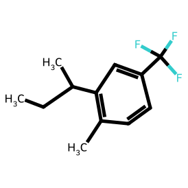 CCC(C)c1cc(C(F)(F)F)ccc1C